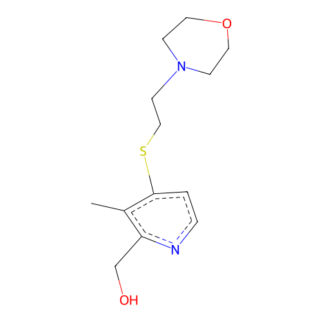 Cc1c(SCCN2CCOCC2)ccnc1CO